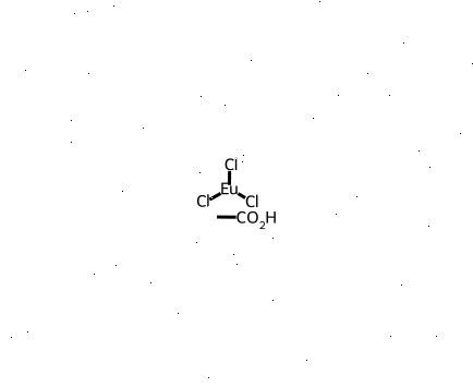 CC(=O)O.[Cl][Eu]([Cl])[Cl]